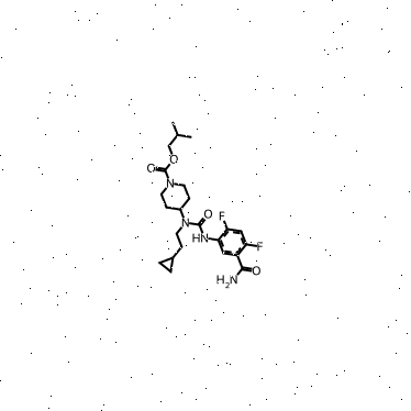 CC(C)COC(=O)N1CCC(N(CCC2CC2)C(=O)Nc2cc(C(N)=O)c(F)cc2F)CC1